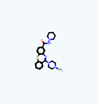 CN1CCN(C2=Nc3cc(C(=O)NN4CCCCC4)ccc3Sc3ccccc32)CC1